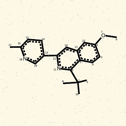 COc1ccc2c(C(C)(C)C)nc(-c3ccc(C)nc3)cc2c1